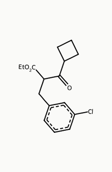 CCOC(=O)C(Cc1cccc(Cl)c1)C(=O)C1CCC1